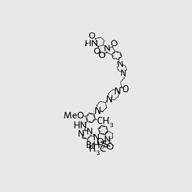 COc1cc(N2CCC(N3CCN(C(=O)CCN4CCN(c5ccc6c(c5)C(=O)N(C5CCC(=O)NC5=O)C6=O)CC4)CC3)CC2)c(C)cc1Nc1ncc(Br)c(Nc2cccc3c2N(S(C)(=O)=O)CC3)n1